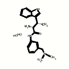 C[C@@H](c1c[nH]c2ccccc12)[C@@H](N)C(=O)Nc1cccc(CN(C)C)c1.Cl.Cl